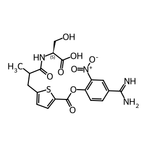 CC(Cc1ccc(C(=O)Oc2ccc(C(=N)N)cc2[N+](=O)[O-])s1)C(=O)N[C@@H](CO)C(=O)O